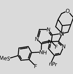 CCCc1cnc(N2CC3COCC(C2)C3Oc2ncnc(Nc3ccc(SC)cc3F)c2F)nc1